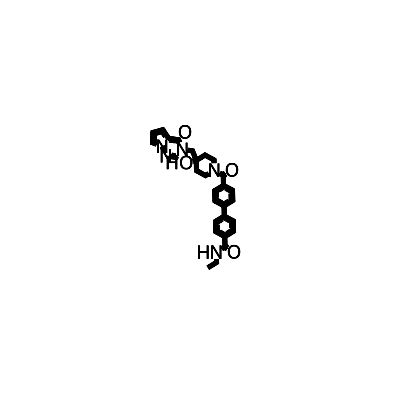 CCNC(=O)c1ccc(-c2ccc(C(=O)N3CCC(O)(Cn4cnn5cccc5c4=O)CC3)cc2)cc1